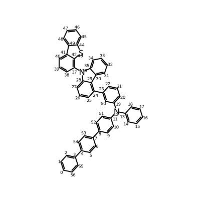 c1ccc(-c2ccc(-c3ccc(N(c4ccccc4)c4cccc(-c5cccc6c5c5ccccc5n6-c5cccc6c5sc5ccccc56)c4)cc3)cc2)cc1